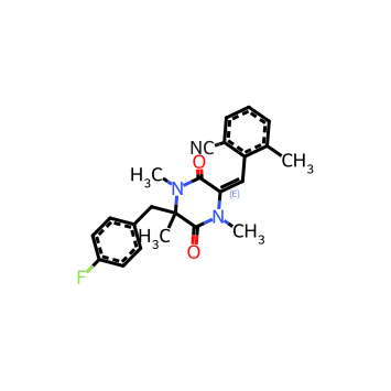 Cc1cccc(C#N)c1/C=C1\C(=O)N(C)C(C)(Cc2ccc(F)cc2)C(=O)N1C